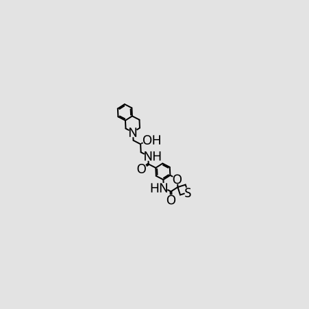 O=C(NC[C@H](O)CN1CCc2ccccc2C1)c1ccc2c(c1)NC(=O)C1(CSC1)O2